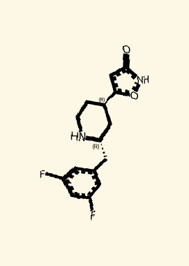 O=c1cc([C@@H]2CCN[C@@H](Cc3cc(F)cc(F)c3)C2)o[nH]1